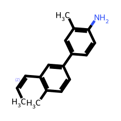 C/C=C\c1cc(-c2ccc(N)c(C)c2)ccc1C